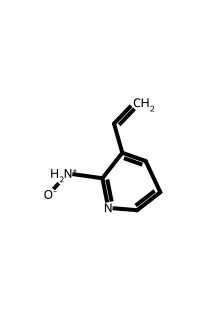 C=Cc1cccnc1[NH2+][O-]